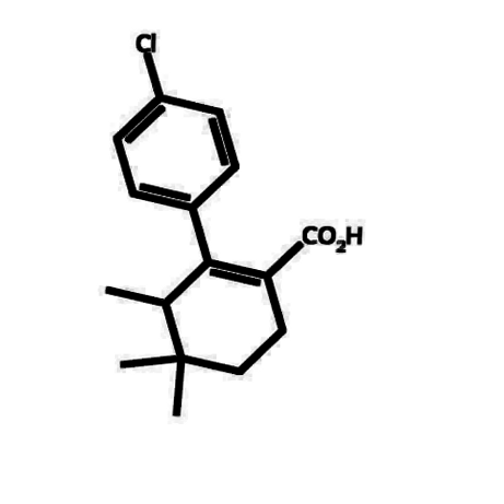 CC1C(c2ccc(Cl)cc2)=C(C(=O)O)CCC1(C)C